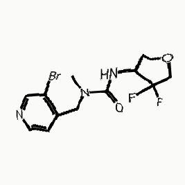 CN(Cc1ccncc1Br)C(=O)NC1COCC1(F)F